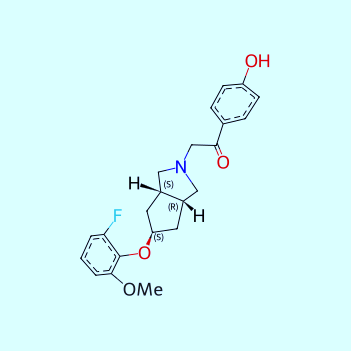 COc1cccc(F)c1O[C@H]1C[C@@H]2CN(CC(=O)c3ccc(O)cc3)C[C@@H]2C1